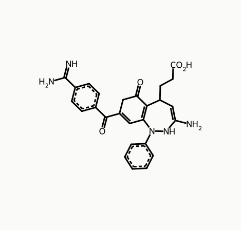 N=C(N)c1ccc(C(=O)C2=CC3=C(C(=O)C2)C(CCC(=O)O)C=C(N)NN3c2ccccc2)cc1